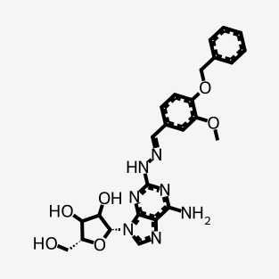 COc1cc(/C=N/Nc2nc(N)c3ncn([C@@H]4O[C@H](CO)C(O)C4O)c3n2)ccc1OCc1ccccc1